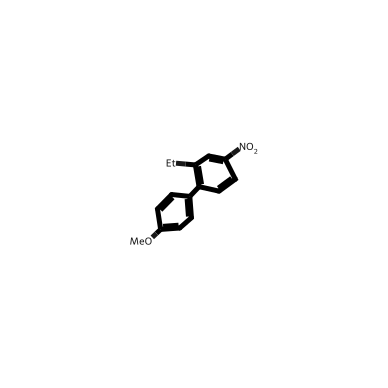 CCc1cc([N+](=O)[O-])ccc1-c1ccc(OC)cc1